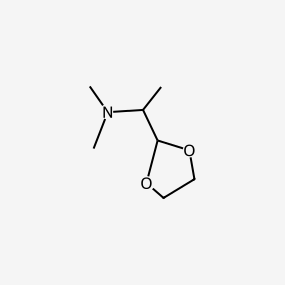 CC(C1OCCO1)N(C)C